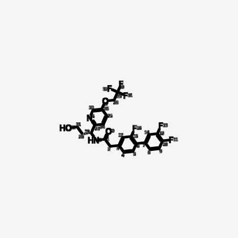 O=C(Cc1ccc(-c2ccc(F)c(F)c2)c(F)c1)N[C@H](CCO)c1ccc(OCC(F)(F)F)cn1